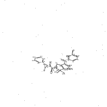 Cc1nccc(Nc2n[nH]c3c2CN(C(=O)N[C@@H]2C[C@H]2c2ccccc2)C3(C)C)n1